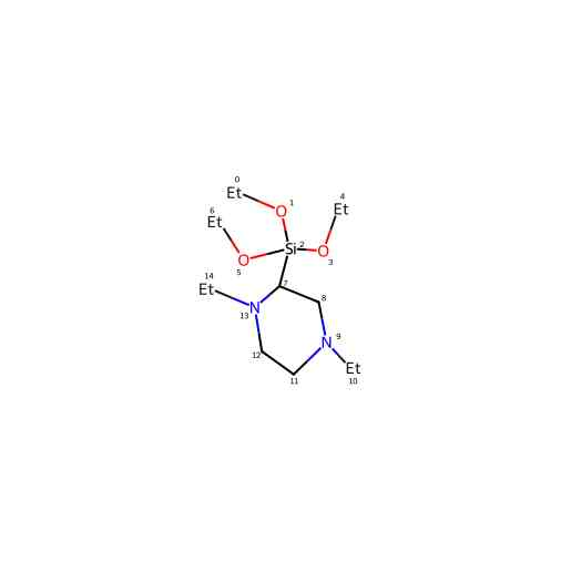 CCO[Si](OCC)(OCC)C1CN(CC)CCN1CC